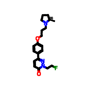 C[C@@H]1CCCN1CCCOc1ccc(-c2ccc(=O)n(CCF)n2)cc1